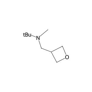 CN(CC1COC1)C(C)(C)C